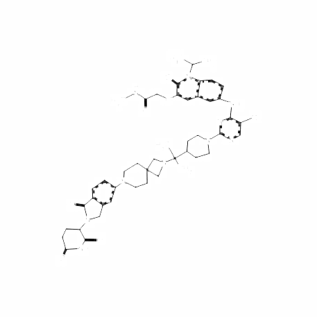 CNC(=O)COc1cc2cc(Nc3nc(N4CCC(C(C)(C)N5CC6(CCN(c7ccc8c(c7)CN(C7CCC(=O)NC7=O)C8=O)CC6)C5)CC4)ncc3Cl)ccc2n(C(C)C)c1=O